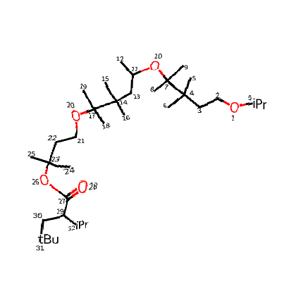 CC(C)OCCC(C)(C)C(C)(C)OC(C)CC(C)(C)C(C)(C)OCCC(C)(C)OC(=O)C(CC(C)(C)C)C(C)C